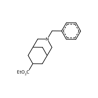 CCOC(=O)C1CC2CC(C1)CN(Cc1ccccc1)C2